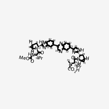 COC(=O)N[C@H](C(=O)N1[C@@H]2C[C@@H]2C[C@H]1c1nc2cc(-c3cnc4cc(-c5c[nH]c([C@@H]6C[C@H]7C[C@H]7N6C(=O)[C@H](C(C)C)N(C)C(=O)O)n5)ccc4n3)ccc2[nH]1)C(C)C